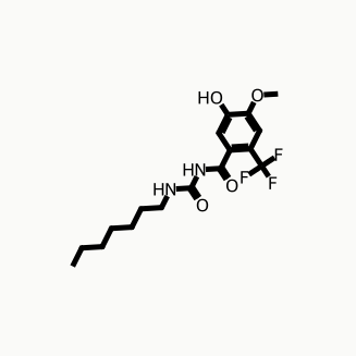 CCCCCCCNC(=O)NC(=O)c1cc(O)c(OC)cc1C(F)(F)F